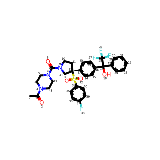 CC(=O)N1CCN(C(=O)N2CC[C@](c3ccc(C(O)(c4ccccc4)C(F)(F)F)cc3)(S(=O)(=O)c3ccc(F)cc3)C2)CC1